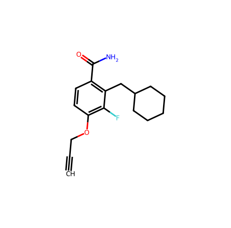 C#CCOc1ccc(C(N)=O)c(CC2CCCCC2)c1F